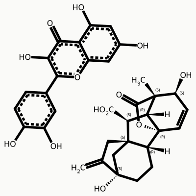 C=C1C[C@]23C[C@@]1(O)CC[C@H]2[C@@]12C=C[C@H](O)[C@@](C)(C(=O)O1)[C@H]2[C@@H]3C(=O)O.O=c1c(O)c(-c2ccc(O)c(O)c2)oc2cc(O)cc(O)c12